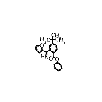 CC(C)(C)c1ccc(C(=O)Oc2ccccc2)c(C(=N)c2ccco2)c1